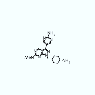 CNc1ncc2c(-c3cnc(N)nc3)nn(C[C@H]3CC[C@@H](N)CC3)c2n1